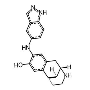 Oc1cc2c(cc1Nc1ccc3[nH]ncc3c1)C[C@@H]1NCC[C@]23CCCC[C@H]13